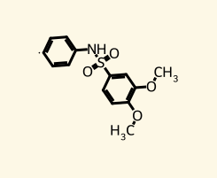 COc1ccc(S(=O)(=O)Nc2cc[c]cc2)cc1OC